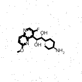 COc1ccc2ncc(F)c([C@@H](O)[C@H](O)[C@H]3CC[C@H](N)CC3)c2n1